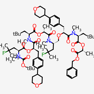 C[C@@H](OC(=O)[C@H](CC(C)(C)C)N(C)C(=O)[C@@H](Cc1ccc(C2CCOCC2)cc1)OC[C@H](CC(C)(C)F)N(C)C(=O)[C@@H](C)OC(=O)[C@H](CC(C)(C)C)N(C)C(=O)[C@@H](Cc1ccc(C2CCOCC2)cc1)OC(=O)[C@H](CC(C)(C)F)N(C)C(=O)OC(C)(C)C)C(=O)OCc1ccccc1